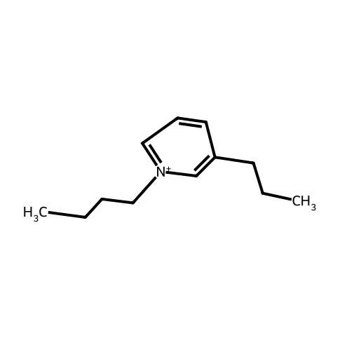 CCCC[n+]1cccc(CCC)c1